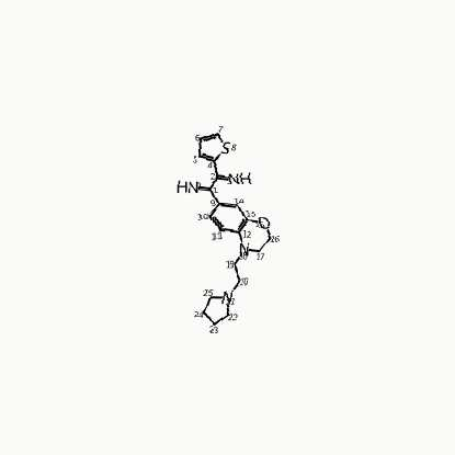 N=C(C(=N)c1cccs1)c1ccc2c(c1)OCCN2CCN1CCCC1